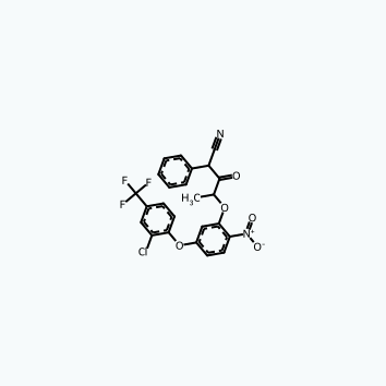 CC(Oc1cc(Oc2ccc(C(F)(F)F)cc2Cl)ccc1[N+](=O)[O-])C(=O)C(C#N)c1ccccc1